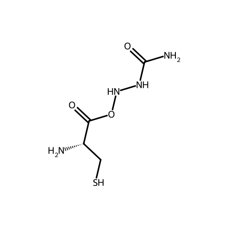 NC(=O)NNOC(=O)[C@@H](N)CS